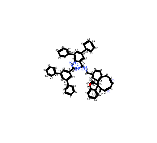 CC1/C=C\C=C/Cc2ccc(C/N=C(\N=C(/N)c3cc(-c4ccccc4)cc(-c4ccccc4)c3)c3cc(-c4ccccc4)cc(-c4ccccc4)c3)cc2C12c1ccccc1-c1ccccc12